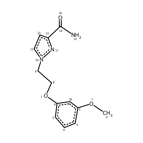 COc1cccc(OCCn2c[c]c(C(N)=O)n2)c1